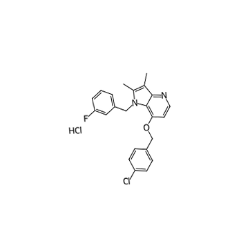 Cc1c(C)n(Cc2cccc(F)c2)c2c(OCc3ccc(Cl)cc3)ccnc12.Cl